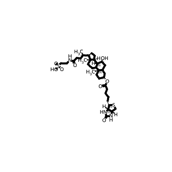 C[C@H](CCC(=O)NCCS(=O)(=O)O)[C@H]1CC[C@H]2[C@H]3C(CC[C@]12C)[C@@]1(C)CC[C@@H](OC(=O)CCCC[C@@H]2SC[C@@H]4NC(=O)N[C@@H]42)CC1C[C@@H]3O